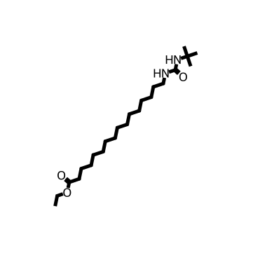 CCOC(=O)CCCCCCCCCCCCCCCNC(=O)NC(C)(C)C